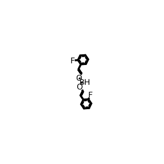 Fc1ccccc1C=COBOC=Cc1ccccc1F